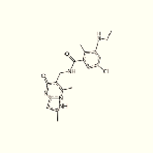 CCNc1cc(Cl)cc(C(=O)NCc2c(C)n3[nH]c(C)cc3nc2=O)c1C